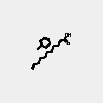 C=CCCCCCCCCC(=O)O.Cc1ccccc1